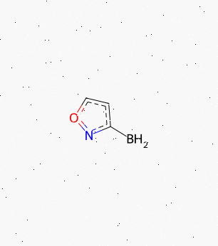 Bc1ccon1